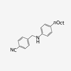 CCCCCCCCc1ccc(NCc2ccc(C#N)cc2)cc1